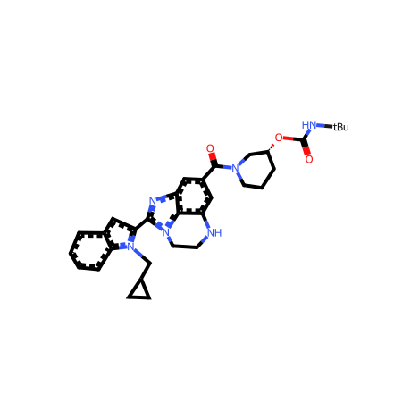 CC(C)(C)NC(=O)O[C@@H]1CCCN(C(=O)c2cc3c4c(c2)nc(-c2cc5ccccc5n2CC2CC2)n4CCN3)C1